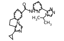 CC(C)n1cnnc1-c1cccc(NC(=O)c2ccc3c(c2)-n2cnc(C4CC4)c2CC3)n1